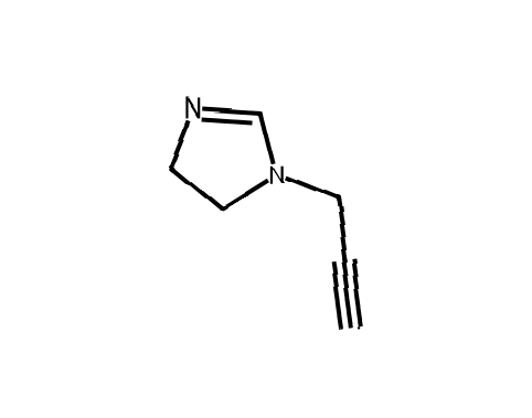 [C]#CCN1C=NCC1